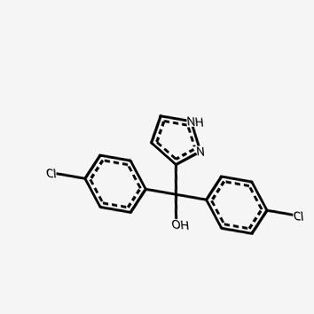 OC(c1ccc(Cl)cc1)(c1ccc(Cl)cc1)c1cc[nH]n1